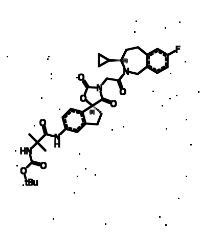 CC(C)(C)OC(=O)NC(C)(C)C(=O)Nc1ccc2c(c1)CC[C@@]21OC(=O)N(CC(=O)N2Cc3ccc(F)cc3CC[C@@H]2C2CC2)C1=O